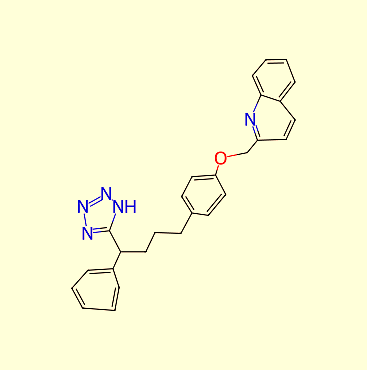 c1ccc(C(CCCc2ccc(OCc3ccc4ccccc4n3)cc2)c2nnn[nH]2)cc1